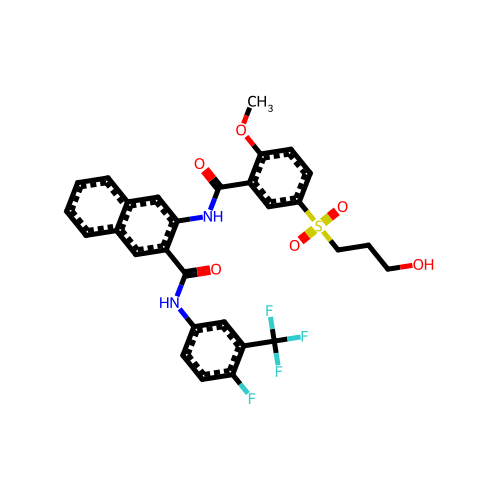 COc1ccc(S(=O)(=O)CCCO)cc1C(=O)Nc1cc2ccccc2cc1C(=O)Nc1ccc(F)c(C(F)(F)F)c1